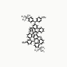 CC(C)(C)c1ccc(N(c2ccc([Si](C)(C)C)cc2)c2ccc3c4c(c5ccccc5c3c2)-c2c(cc(N(c3ccc(C(C)(C)C)cc3)c3ccc([Si](C)(C)C)cc3)c3c2oc2ccccc23)C42c3ccccc3-c3ccccc32)cc1